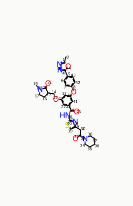 Cc1nnc(-c2ccc(Oc3cc(OCC4CCN(C)C4=O)cc(C(=O)Nc4nc(CC(=O)N5CCCCC5)cs4)c3)cc2)o1